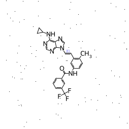 Cc1ccc(NC(=O)c2cccc(C(F)(F)F)c2)cc1/C=C/n1cnc2c(NC3CC3)ncnc21